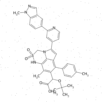 Cc1ccc(-c2c(C(OC(C)(C)C)C(=O)O)c(C)c3c4c2cc(-c2ccnc(-c5ccc6c(cnn6C)c5)c2)n4CS(=O)(=O)N3)cc1